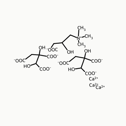 C[N+](C)(C)CC(O)CC(=O)[O-].O=C([O-])CC(O)(C(=O)[O-])C(O)C(=O)[O-].O=C([O-])CC(O)(C(=O)[O-])C(O)C(=O)[O-].[Ca+2].[Ca+2].[Ca+2]